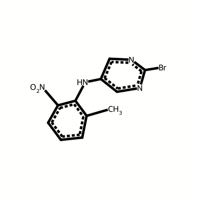 Cc1cccc([N+](=O)[O-])c1Nc1cnc(Br)nc1